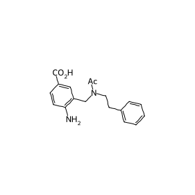 CC(=O)N(CCc1ccccc1)Cc1cc(C(=O)O)ccc1N